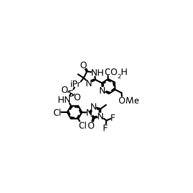 COCc1cnc(C2=NC(C)(C(C)C)C(=O)N2)c(C(=O)O)c1.Cc1nn(-c2cc(NS(C)(=O)=O)c(Cl)cc2Cl)c(=O)n1C(F)F